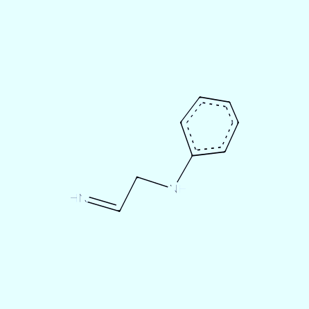 N=CCNc1ccccc1